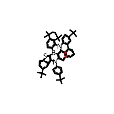 Cc1cc2c3c(c1)N(c1ccc(C(C)(C)C)cc1)c1c(sc4ccc(C(C)(C)C)cc14)B3c1ccc3c(c1N2c1ccc(C(C)(C)C)cc1-c1ccccc1)C(C)(C)CCC3(C)C